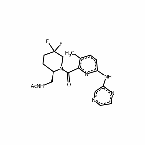 CC(=O)NC[C@H]1CCC(F)(F)CN1C(=O)c1nc(Nc2cnccn2)ccc1C